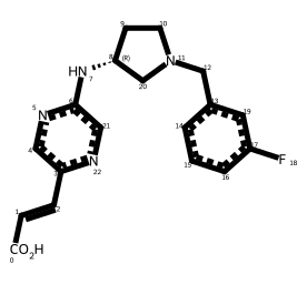 O=C(O)C=Cc1cnc(N[C@@H]2CCN(Cc3cccc(F)c3)C2)cn1